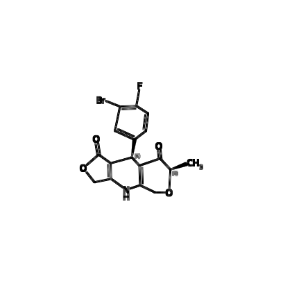 C[C@H]1OCC2=C(C1=O)[C@H](c1ccc(F)c(Br)c1)C1=C(COC1=O)N2